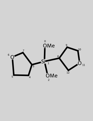 CO[Si](OC)(C1CCOC1)C1CCOC1